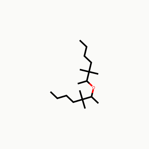 CCCCC(C)(C)C(C)OC(C)C(C)(C)CCCC